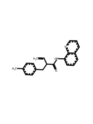 C=CC(Cc1ccc(C)cc1)C(=O)Nc1cccc2cccnc12